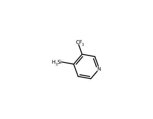 FC(F)(F)c1cnccc1[SiH3]